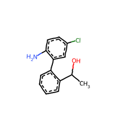 CC(O)c1ccccc1-c1cc(Cl)ccc1N